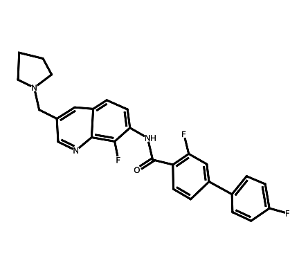 O=C(Nc1ccc2cc(CN3CCCC3)cnc2c1F)c1ccc(-c2ccc(F)cc2)cc1F